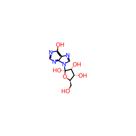 OC[C@H]1O[C@@](O)(n2cnc3c(O)ncnc32)[C@H](O)[C@@H]1O